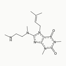 CNCCN(C)c1nc2c(c(=O)n(C)c(=O)n2C)n1CC=C(C)C